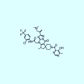 C=C(CN(C)C)c1nc2n(CC(=O)Nc3ccc(C(F)(F)F)cc3Cl)c3c(c(=O)n2n1)C1(CCN(C(=O)c2ncnc(C)c2O)CC1)CC3C